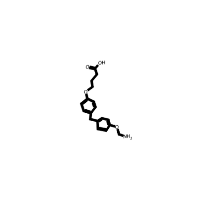 NCOc1ccc(Cc2ccc(OCCCC(=O)O)cc2)cc1